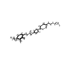 CCCCCC1CCC(c2ccc(CC(F)COc3ccc(OC)c(F)c3F)cc2)CC1